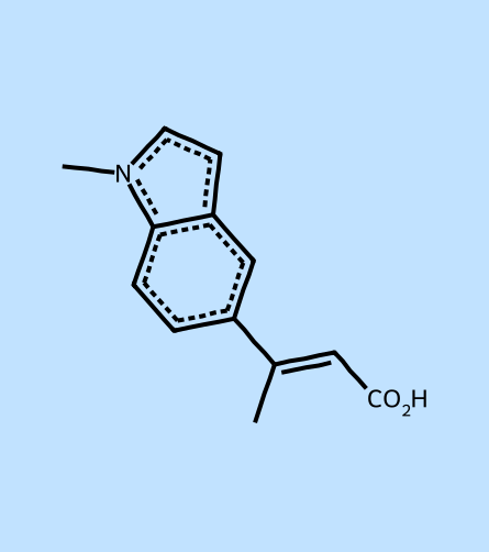 CC(=CC(=O)O)c1ccc2c(ccn2C)c1